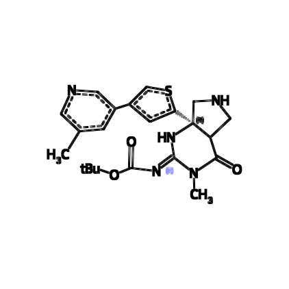 Cc1cncc(-c2csc([C@]34CNCC3C(=O)N(C)/C(=N/C(=O)OC(C)(C)C)N4)c2)c1